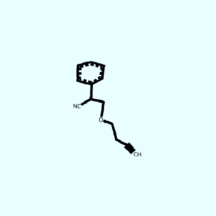 C#CCCOCC(C#N)c1ccccc1